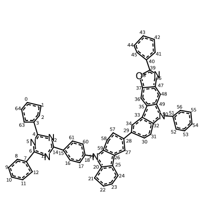 c1ccc(-c2nc(-c3ccccc3)nc(-c3ccc(-n4c5ccccc5c5cc(-c6ccc7c(c6)c6cc8oc(-c9ccccc9)nc8cc6n7-c6ccccc6)ccc54)cc3)n2)cc1